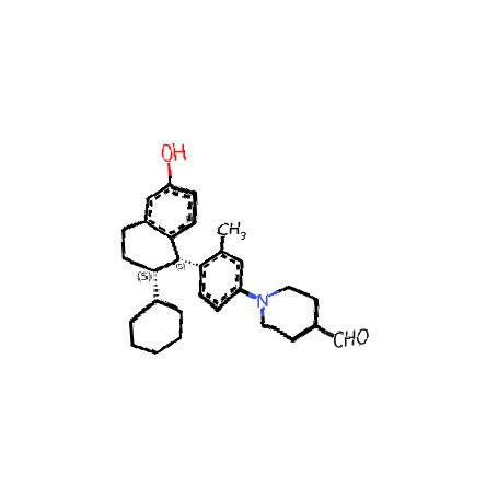 Cc1cc(N2CCC(C=O)CC2)ccc1[C@H]1c2ccc(O)cc2CC[C@H]1C1CCCCC1